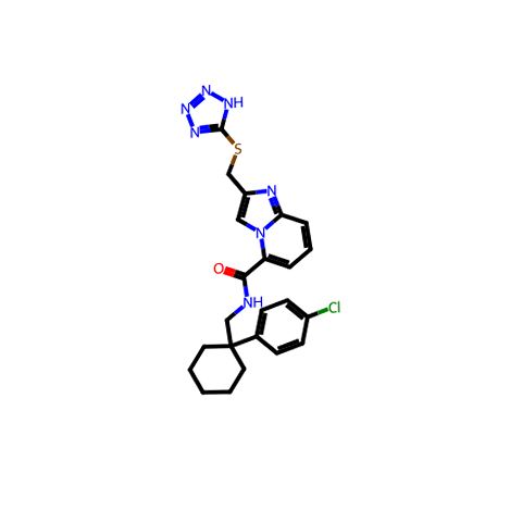 O=C(NCC1(c2ccc(Cl)cc2)CCCCC1)c1cccc2nc(CSc3nnn[nH]3)cn12